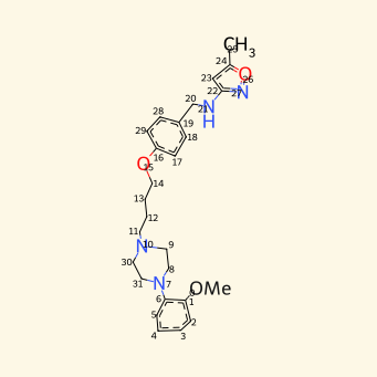 COc1ccccc1N1CCN(CCCCOc2ccc(CNc3cc(C)on3)cc2)CC1